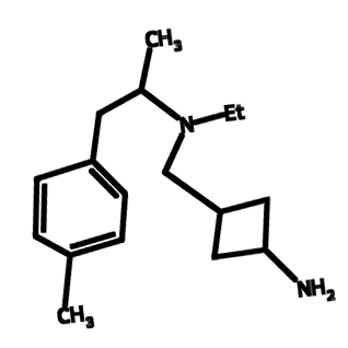 CCN(CC1CC(N)C1)C(C)Cc1ccc(C)cc1